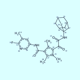 Cc1cc(NC(=O)c2c(C)c(C(=O)C(=O)NC34CC5CC(CC3C5)C4)n(C)c2C)cnc1F